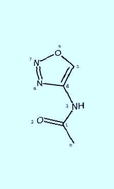 CC(=O)Nc1conn1